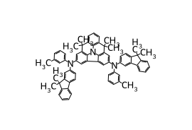 Cc1cccc(N(c2ccc3c(c2)-c2ccccc2C3(C)C)c2cc3c4c(c2)c2cc(N(c5cccc(C)c5)c5ccc6c(c5)C(C)(C)c5ccccc5-6)cc5c2n4-c2c(cccc2C5(C)C)C3(C)C)c1